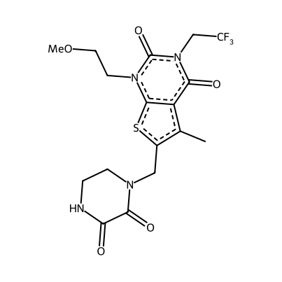 COCCn1c(=O)n(CC(F)(F)F)c(=O)c2c(C)c(CN3CCNC(=O)C3=O)sc21